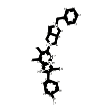 Cc1c(N2CC3=CN(Cc4ccccc4)CC3C2)nn2c(I)c(-c3ccc(F)cc3)nc2c1C